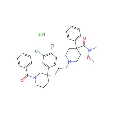 CON(C)C(=O)C1(c2ccccc2)CCN(CCCC2(c3ccc(Cl)c(Cl)c3)CCCN(C(=O)c3ccccc3)C2)CC1.Cl